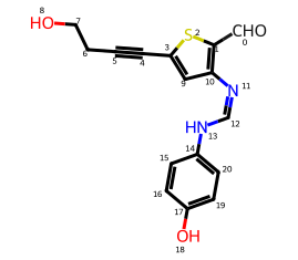 O=Cc1sc(C#CCCO)cc1/N=C\Nc1ccc(O)cc1